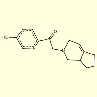 O=C(CN1CC=C2CCCC2C1)c1ccc(O)cn1